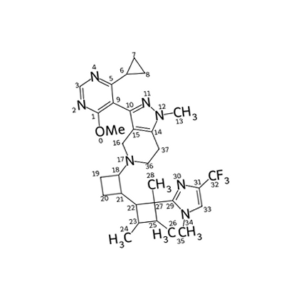 COc1ncnc(C2CC2)c1-c1nn(C)c2c1CN(C1CCC1C1C(C)C(C)C1(C)c1nc(C(F)(F)F)cn1C)CC2